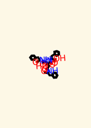 O=CC(Cc1ccccc1)NC(=O)CC(O)(CC(=O)NC(C=O)Cc1ccccc1)C(=O)NC(Cc1ccccc1)C(=O)O